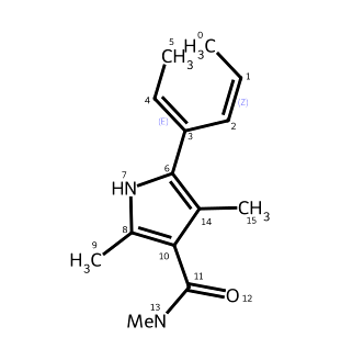 C/C=C\C(=C/C)c1[nH]c(C)c(C(=O)NC)c1C